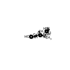 COc1cc(-c2nc(Nc3ccc4[nH]ncc4c3Cl)n(C)n2)ccc1OCC(=O)NC1CCC(O)CC1